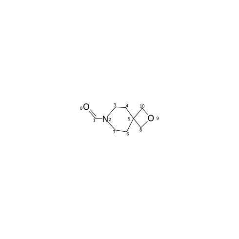 O=CN1CCC2(CC1)COC2